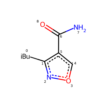 CCC(C)c1no[c]c1C(N)=O